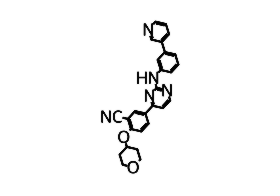 N#Cc1cc(-c2ccnc(Nc3cccc(-c4cccnc4)c3)n2)ccc1OC1CCOCC1